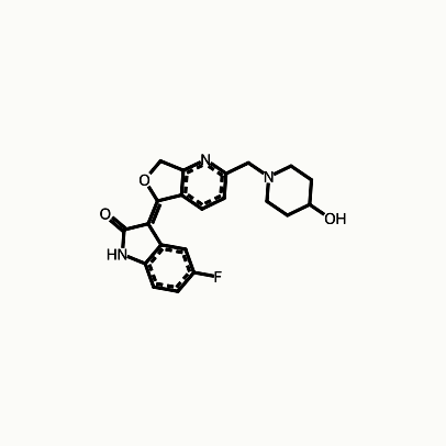 O=C1Nc2ccc(F)cc2/C1=C1/OCc2nc(CN3CCC(O)CC3)ccc21